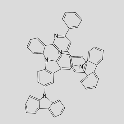 c1ccc(-c2cc(-c3ccccc3)nc(-c3ccccc3-n3c4ccc(-n5c6ccccc6c6ccccc65)cc4c4cc(-n5c6ccccc6c6ccccc65)ccc43)n2)cc1